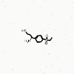 CCS(=O)(=O)c1ccc([C@@H](N)CCO)cc1